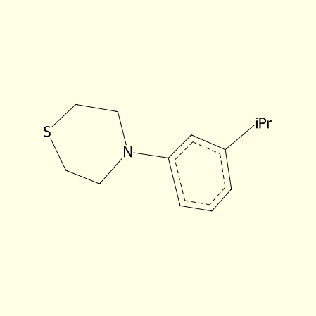 CC(C)c1cccc(N2CCSCC2)c1